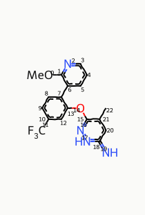 COc1ncccc1-c1ccc(C(F)(F)F)cc1Oc1n[nH]c(=N)cc1C